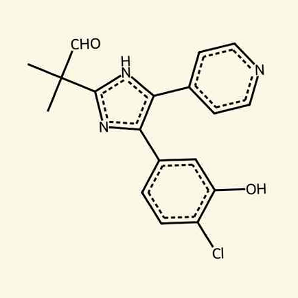 CC(C)(C=O)c1nc(-c2ccc(Cl)c(O)c2)c(-c2ccncc2)[nH]1